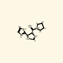 O=C([C@H]1N=COC1c1nccs1)N1CCCC1